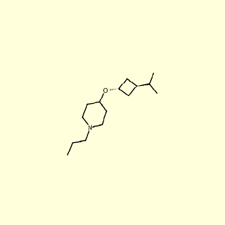 CCCN1CCC(O[C@H]2C[C@H](C(C)C)C2)CC1